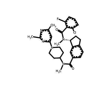 Cc1cc(N2CCC(N(C)C(=O)c3ccc4c(c3)[C@H](N(C)C(=O)c3c(F)cccc3Cl)CC4)CC2)nc(C)n1